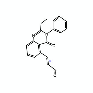 CCc1nc2cccc(/C=C/C=O)c2c(=O)n1-c1ccccc1